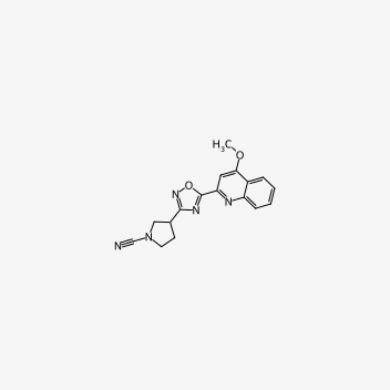 COc1cc(-c2nc(C3CCN(C#N)C3)no2)nc2ccccc12